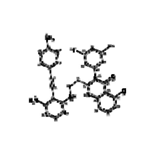 Nc1ncc(C#Cc2c(N)ncnc2NCCc2nc3cccc(Cl)c3c(=O)n2-c2cc(F)cc(F)c2)cn1